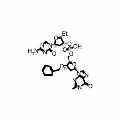 CC[C@H]1O[C@@H](n2cnc(N)nc2=O)C[C@H]1OP(=O)(O)OC[C@H]1O[C@@H](n2cnc3c(=O)[nH]c(C)nc32)C[C@H]1OCc1ccccc1